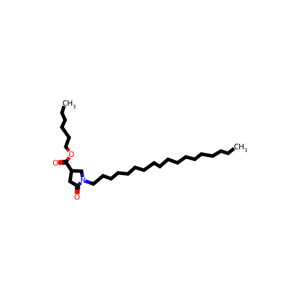 CCCCCCCCCCCCCCCCCCN1CC(C(=O)OCCCCCC)CC1=O